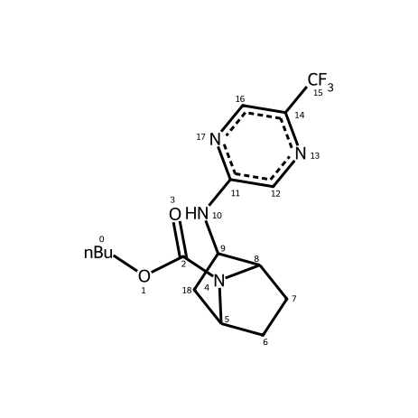 CCCCOC(=O)N1C2CCC1C(Nc1cnc(C(F)(F)F)cn1)C2